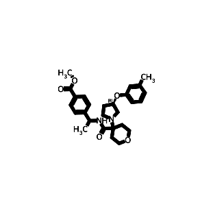 COC(=O)c1ccc(C(C)NC(=O)C2(N3CC[C@@H](Oc4cccc(C)c4)C3)CCOCC2)cc1